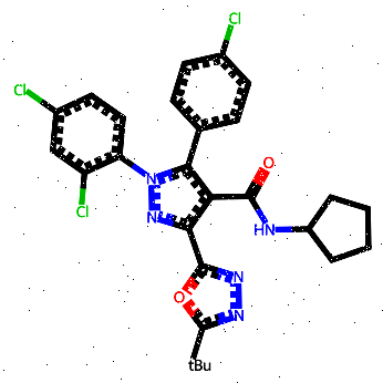 CC(C)(C)c1nnc(-c2nn(-c3ccc(Cl)cc3Cl)c(-c3ccc(Cl)cc3)c2C(=O)NC2CCCC2)o1